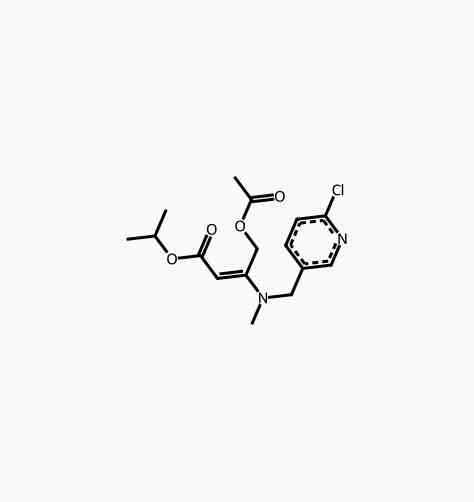 CC(=O)OCC(=CC(=O)OC(C)C)N(C)Cc1ccc(Cl)nc1